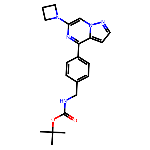 CC(C)(C)OC(=O)NCc1ccc(-c2nc(N3CCC3)cn3nccc23)cc1